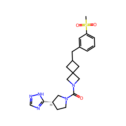 CS(=O)(=O)c1cccc(CC2CC3(C2)CN(C(=O)N2CC[C@H](c4ncn[nH]4)C2)C3)c1